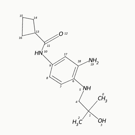 CC(C)(O)CNc1ccc(NC(=O)C2CCC2)cc1N